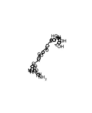 COc1c(OCCCN2CCN(C(=O)Oc3ccc(CC(=O)N4CCC(CCn5ccc6cc(-n7c(O)nnc7-c7cc(C(C)C)c(O)cc7O)ccc65)CC4)cc3)CC2)ccc2c1N=C(NC(=O)c1cnc(N)nc1)N1CCN=C21